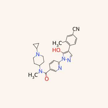 Cc1cc(C#N)ccc1-c1cnn(-c2ccc(C(=O)N(C)C3CCN(C4CC4)CC3)cn2)c1O